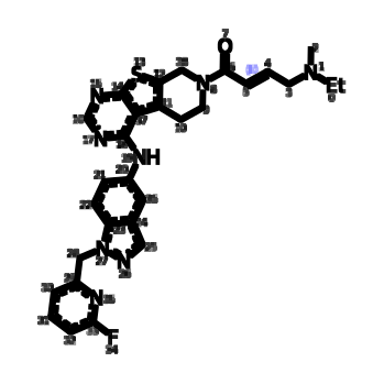 CCN(C)C/C=C/C(=O)N1CCc2c(sc3ncnc(Nc4ccc5c(cnn5Cc5cccc(F)n5)c4)c23)C1